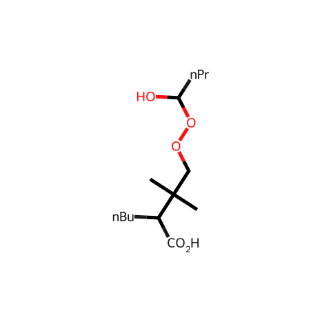 CCCCC(C(=O)O)C(C)(C)COOC(O)CCC